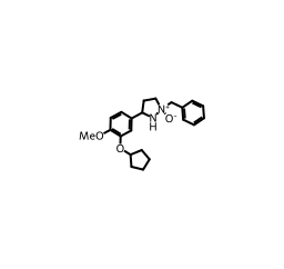 COc1ccc(C2CC[N+]([O-])(Cc3ccccc3)N2)cc1OC1CCCC1